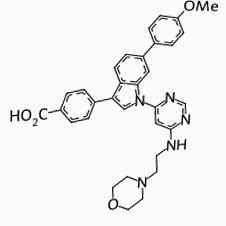 COc1ccc(-c2ccc3c(-c4ccc(C(=O)O)cc4)cn(-c4cc(NCCN5CCOCC5)ncn4)c3c2)cc1